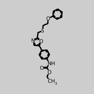 CCOC(=O)Nc1ccc(-c2cnc(CSCCOc3ccccc3)o2)cc1